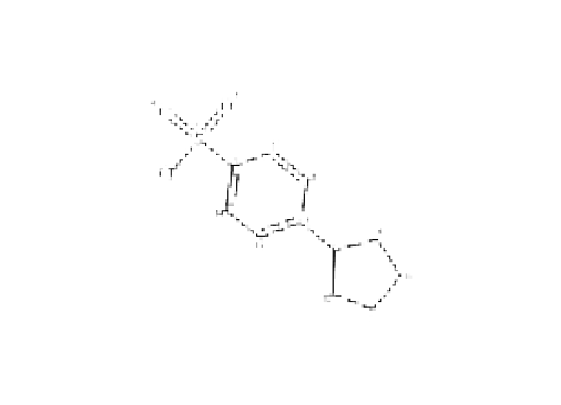 O=S(=O)(Cl)c1ccc(C2CCCC2)cc1